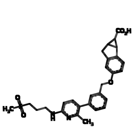 Cc1nc(NCCCS(C)(=O)=O)ccc1-c1cccc(COc2ccc3c(c2)CC2C(C(=O)O)C32)c1